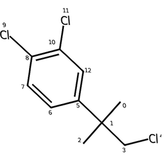 CC(C)(CCl)c1ccc(Cl)c(Cl)c1